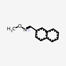 CO/N=C/c1ccc2ccccc2c1